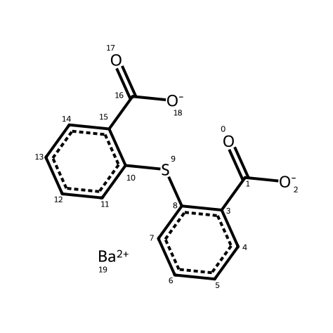 O=C([O-])c1ccccc1Sc1ccccc1C(=O)[O-].[Ba+2]